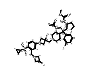 COC(=O)N[C@H]1CCC[C@@H]1[C@](CNC(C)=O)(c1cccc(F)c1)C1CCN(CC2(F)CN(c3ccc(S(=O)(=O)C4CC4)c(CN4CC(F)C4)c3)C2)CC1